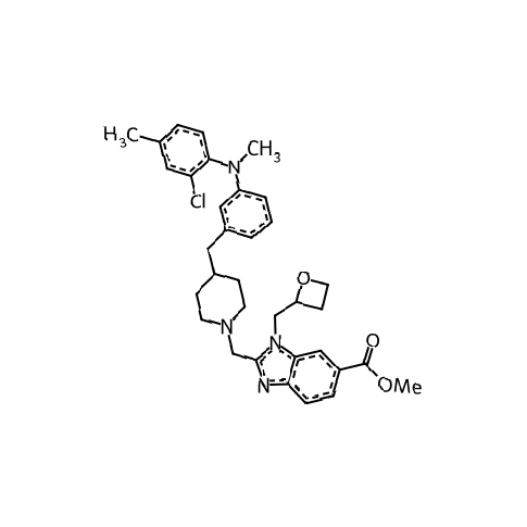 COC(=O)c1ccc2nc(CN3CCC(Cc4cccc(N(C)c5ccc(C)cc5Cl)c4)CC3)n(CC3CCO3)c2c1